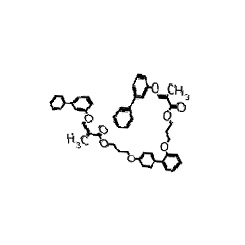 CC(=COc1cccc(-c2ccccc2)c1)C(=O)OCCCOc1ccc(-c2ccccc2OCCCOC(=O)C(C)=COc2cccc(-c3ccccc3)c2)cc1